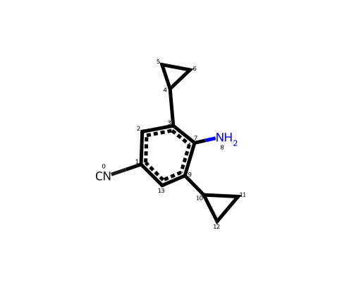 [C-]#[N+]c1cc(C2CC2)c(N)c(C2CC2)c1